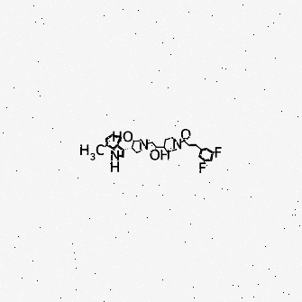 Cc1cccc2c([C@H]3CCN(CC(O)C4CCN(C(=O)/C=C/c5cc(F)cc(F)c5)CC4)C[C@H]3O)c[nH]c12